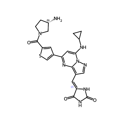 N[C@H]1CCN(C(=O)c2cc(-c3cc(NC4CC4)n4ncc(/C=C5\NC(=O)NC5=O)c4n3)cs2)C1